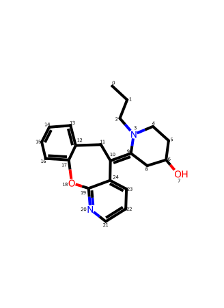 CCCN1CCC(O)CC1=C1Cc2ccccc2Oc2ncccc21